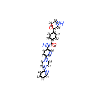 O=C(Nc1ccc(N2CCN(c3ccccn3)CC2)nc1)c1ccc(C2CNCCO2)cc1